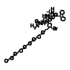 COCCOCCOCCOCCOCCOCCOCCOCCOCCCc1cc(NC(=O)C(CCCNC(N)=O)NC(=O)C(NC(=O)OCC2c3ccccc3-c3ccccc32)C(C)C)ccc1CBr